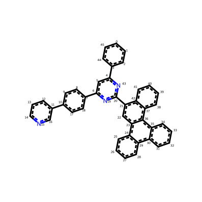 c1ccc(-c2cc(-c3ccc(-c4cccnc4)cc3)nc(-c3cc4c5ccccc5c5ccccc5c4c4ccccc34)n2)cc1